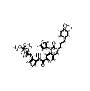 CN1CCN(CCCN(Cc2ccc(C(=O)Nc3cscc3NC(=O)OC(C)(C)C)nc2)C(=O)Nc2ccsc2)CC1